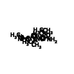 CC(C)c1cn(-c2ccc(C(N)=O)c(NC(C)(C)C)c2)c2cccc(-n3cnc(-c4cnn(C)c4)c3)c12